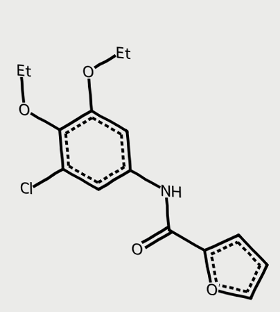 CCOc1cc(NC(=O)c2ccco2)cc(Cl)c1OCC